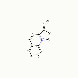 C/C=C1\CC[n+]2c1ccc1ccccc12